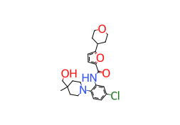 CC1(CO)CCN(c2ccc(Cl)cc2NC(=O)c2ccc(C3CCOCC3)o2)CC1